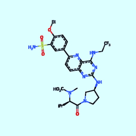 CCOc1ccc(-c2ccc3nc(N[C@H]4CCN(C(=O)[C@@H](C(C)C)N(C)C(=O)O)C4)nc(NCC(F)(F)F)c3n2)cc1S(N)(=O)=O